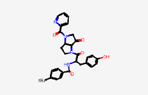 CC(C)(C)c1ccc(C(=O)NC(Cc2ccc(O)cc2)C(=O)N2CCC3C2C(=O)CN3C(=O)c2ccccn2)cc1